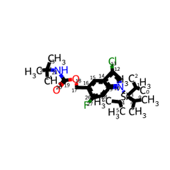 CC(C)[Si](C(C)C)(C(C)C)n1cc(Cl)c2cc(COC(=O)NC(C)(C)C)c(F)cc21